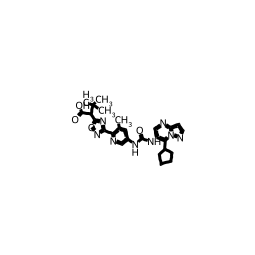 Cc1cc(NC(=O)Nc2cnc3ccnn3c2C2CCCC2)cnc1-c1noc(C(C(=O)O)C(C)(C)C)n1